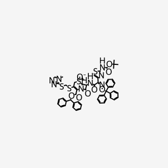 Cn1cnnc1SCSC1=C(C(=O)OC(c2ccccc2)c2ccccc2)N2C(=O)C(NC(=O)/C(=N\OC(c3ccccc3)(c3ccccc3)c3ccccc3)c3csc(NC(=O)OC(C)(C)C)n3)[C@@H]2[S+]([O-])C1